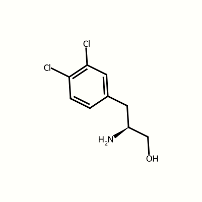 N[C@H](CO)Cc1ccc(Cl)c(Cl)c1